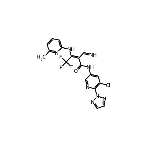 Cc1cccc(N/C(=C(\C=N)C(=O)Nc2cnc(-n3nccn3)c(Cl)c2)C(F)(F)F)n1